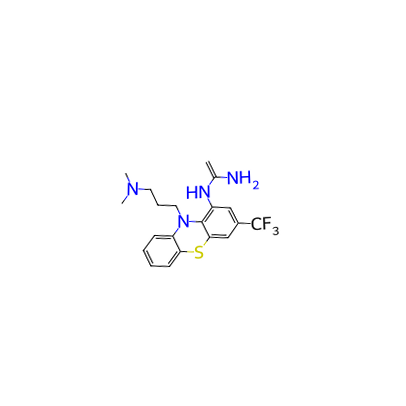 C=C(N)Nc1cc(C(F)(F)F)cc2c1N(CCCN(C)C)c1ccccc1S2